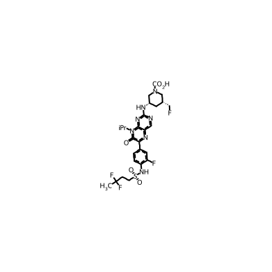 CC(C)n1c(=O)c(-c2ccc(NS(=O)(=O)CCC(C)(F)F)c(F)c2)nc2cnc(N[C@H]3C[C@@H](CF)CN(C(=O)O)C3)nc21